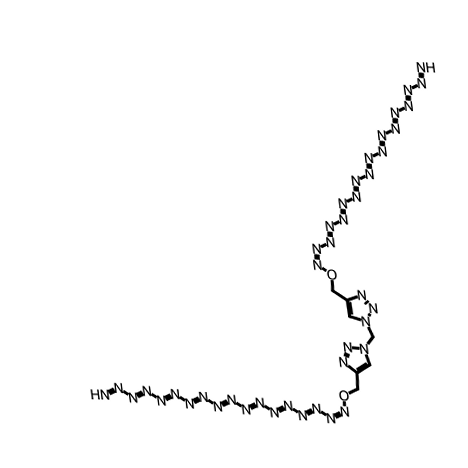 N=N/N=N/N=N/N=N/N=N/N=N/N=N/N=N/N=N\OCc1cn(Cn2cc(CO\N=N/N=N/N=N/N=N/N=N/N=N/N=N/N=N/N=N)nn2)nn1